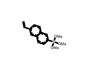 C=Cc1ccc2cc([Si](OC)(OC)OC)ccc2c1